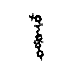 CN1N=C(C2C=CC(F)=CC2)CC1[C@H]1C[N@]2CC[C@H]1CC2COC(=O)Nc1cccc(C(F)(F)F)c1